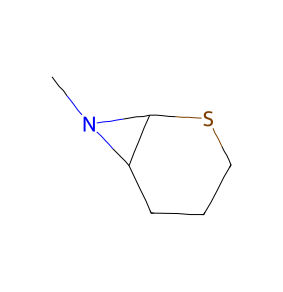 CN1C2CCCSC21